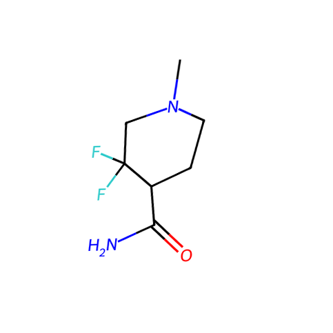 CN1CCC(C(N)=O)C(F)(F)C1